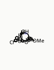 COCCOC[C@H]1CC/C=C\[C@@H](O)[C@@H]2CC[C@H]2CN2C[C@@]3(CCCc4cc(Cl)ccc43)COc3ccc(cc32)C(=O)NS1(=O)=O